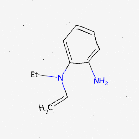 C=CN(CC)c1ccccc1N